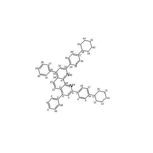 c1ccc(-c2cc(-c3ccc(C4CCCCC4)cc3)nc3c2ccc2c(-c4ccccc4)cc(-c4ccc(C5CCCCC5)cc4)nc23)cc1